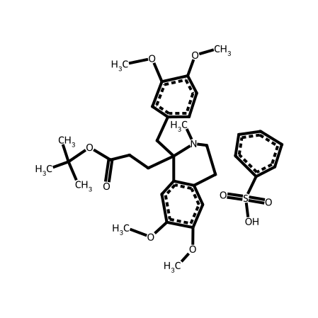 COc1ccc(CC2(CCC(=O)OC(C)(C)C)c3cc(OC)c(OC)cc3CCN2C)cc1OC.O=S(=O)(O)c1ccccc1